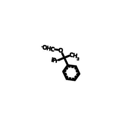 CC(C)C(C)(O[C]=O)c1ccccc1